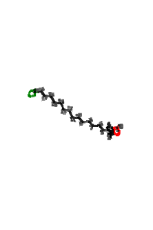 CO[Si](C)(C)CCCCCCCCCCCCCCCl